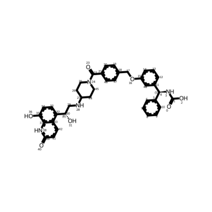 O=C(O)N[C@@H](c1ccccc1)c1cccc(OCc2ccc(C(=O)N3CCC(NC[C@H](O)c4ccc(O)c5[nH]c(=O)ccc45)CC3)cc2)c1